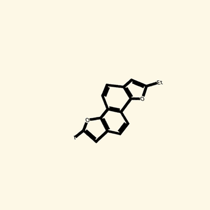 CCc1cc2ccc3c(ccc4cc(I)oc43)c2o1